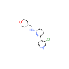 Clc1cnccc1-c1cccc(NCC2CCOCC2)n1